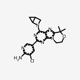 CC1(C)OCCn2c1nc1c(N3CC4CC43)nc(-c3cnc(N)c(Cl)c3)nc12